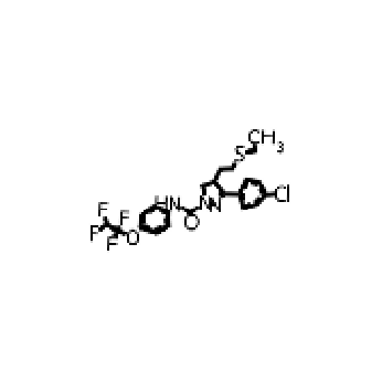 CCSCCC1CN(C(=O)Nc2ccc(OC(F)(F)C(F)F)cc2)N=C1c1ccc(Cl)cc1